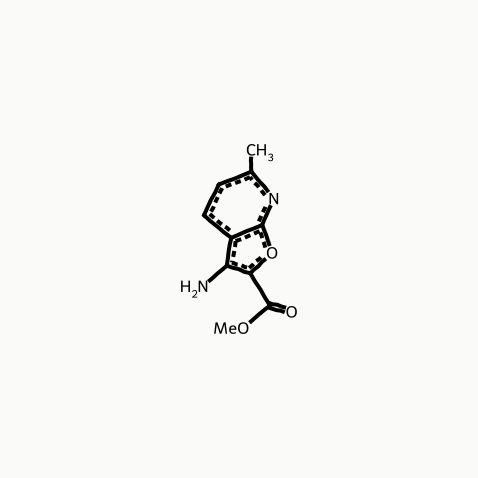 COC(=O)c1oc2nc(C)ccc2c1N